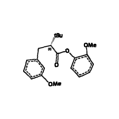 COc1cccc(C[C@@H](C(=O)Oc2ccccc2OC)C(C)(C)C)c1